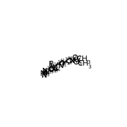 CC(C)OC(=O)N1CCC(c2ccc(Cn3ccc4cc(-n5cnnn5)cc(F)c43)nc2)CC1